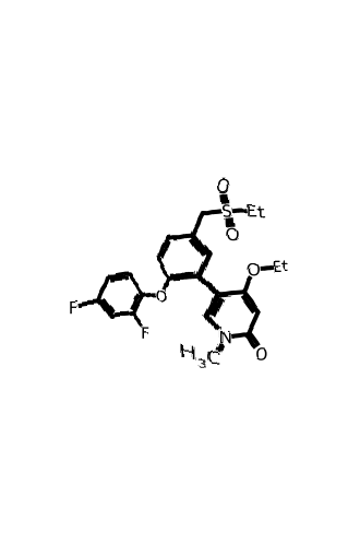 CCOc1cc(=O)n(C)cc1-c1cc(CS(=O)(=O)CC)ccc1Oc1ccc(F)cc1F